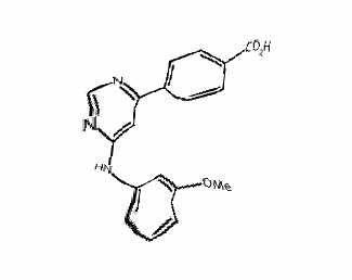 COc1cccc(Nc2cc(-c3ccc(C(=O)O)cc3)ncn2)c1